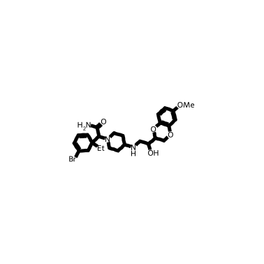 CCC1(C(C(N)=O)N2CCC(NCC(O)C3COc4cc(OC)ccc4O3)CC2)C=CC=C(Br)C1